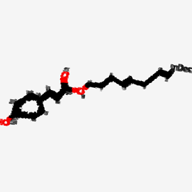 CCCCCCCCCCCCCCCCCCOC(=O)/C=C/c1ccc(O)cc1